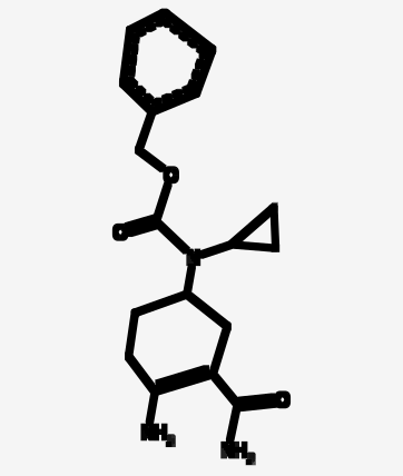 NC(=O)C1=C(N)CCC(N(C(=O)OCc2ccccc2)C2CC2)C1